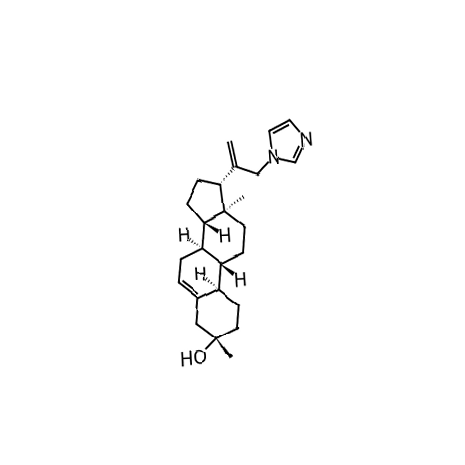 C=C(Cn1ccnc1)[C@H]1CC[C@H]2[C@@H]3CC=C4C[C@@](C)(O)CC[C@@H]4[C@H]3CC[C@]12C